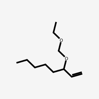 C=CC(CCCCC)OCOCC